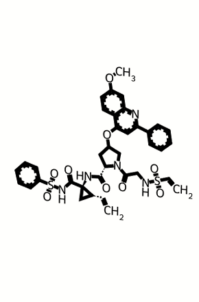 C=C[C@@H]1C[C@]1(NC(=O)[C@@H]1CC(Oc2cc(-c3ccccc3)nc3cc(OC)ccc23)CN1C(=O)CNS(=O)(=O)C=C)C(=O)NS(=O)(=O)c1ccccc1